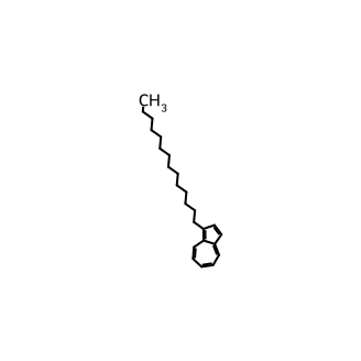 CCCCCCCCCCCCCCc1ccc2cccccc1-2